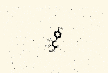 COC(=O)[C@@H](C)[C@H](C)Oc1ccc(C)cc1